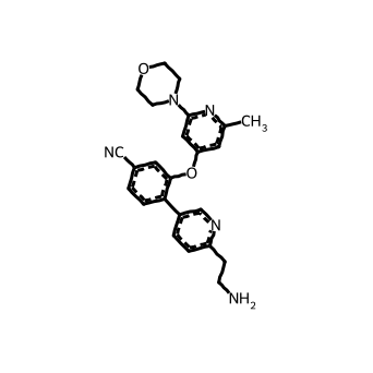 Cc1cc(Oc2cc(C#N)ccc2-c2ccc(CCN)nc2)cc(N2CCOCC2)n1